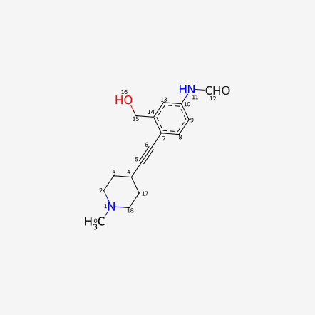 CN1CCC(C#Cc2ccc(NC=O)cc2CO)CC1